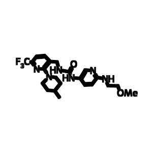 COCCNc1ccc(NC(=O)NCc2ccc(C(F)(F)F)nc2N2CCC(C)CC2)cn1